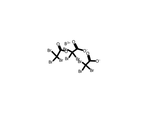 O=C([O-])C(Br)(Br)Br.O=C([O-])C(Br)(Br)Br.O=C([O-])C(Br)(Br)Br.[B+3]